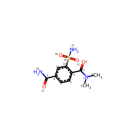 CN(C)C(=O)c1ccc(C(N)=O)cc1S(N)(=O)=O